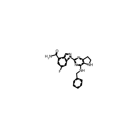 NC(=O)c1cc(F)cc2c1cnn2-c1nc2c(c(NCc3ccccc3)n1)NCC2